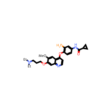 CCN(CC)CCCOc1cc2nccc(Oc3ccc(NC(=O)C4CC4)cc3P)c2cc1OC